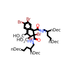 CCCCCCCCCCCCC(CCCCCCCCCC)CNC(=O)C1=c2cc(Br)c(Br)cc2=C(C(=O)O)C(Br)(C(=O)O)C1(Br)C(=O)NCC(CCCCCCCCCC)CCCCCCCCCCCC